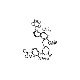 CNc1cc(C(=O)OC)ccc1[C@H]1CC2(CCN1Cc1c(OC)cc(C)c3c1ccn3C(=O)OC(C)(C)C)CC2